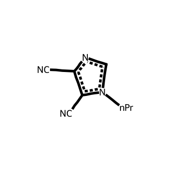 CCCn1cnc(C#N)c1C#N